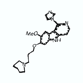 COc1cc2c(cc1OCCCN1CCCC1)[nH]c1ccnc(-n3ccnc3)c12